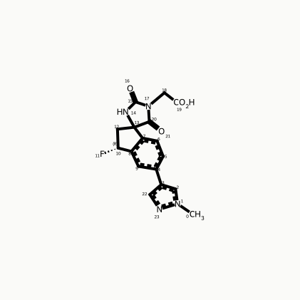 Cn1cc(-c2ccc3c(c2)[C@H](F)CC32NC(=O)N(CC(=O)O)C2=O)cn1